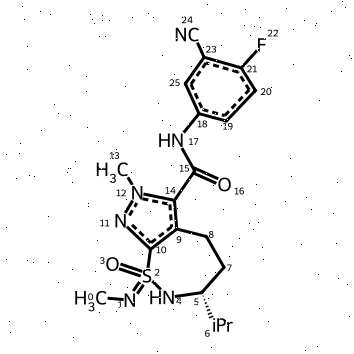 CN=S1(=O)N[C@@H](C(C)C)CCc2c1nn(C)c2C(=O)Nc1ccc(F)c(C#N)c1